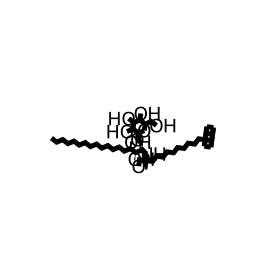 CCCCCCCCCCCCCC[C@@H](O)[C@@H](O)[C@H](COC1OC(CO)C(O)C(O)C1O)NC1(CCCCCCCCCCC23C4C5C6C4C2C6C53)COC1